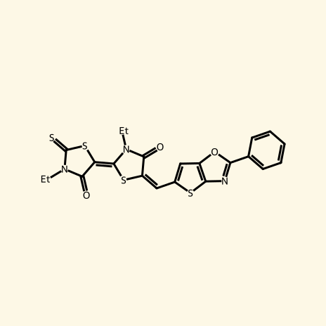 CCN1C(=O)/C(=c2\s/c(=C/c3cc4oc(-c5ccccc5)nc4s3)c(=O)n2CC)SC1=S